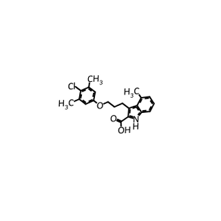 Cc1cc(OCCCc2c(C(=O)O)[nH]c3cccc(C)c23)cc(C)c1Cl